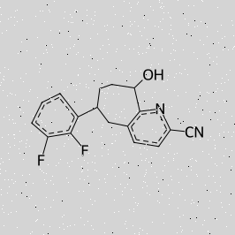 N#Cc1ccc2c(n1)C(O)CCC(c1cccc(F)c1F)C2